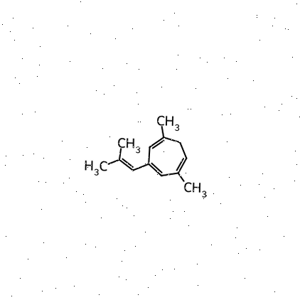 CC(C)=CC1=CC(C)=CCC(C)=C1